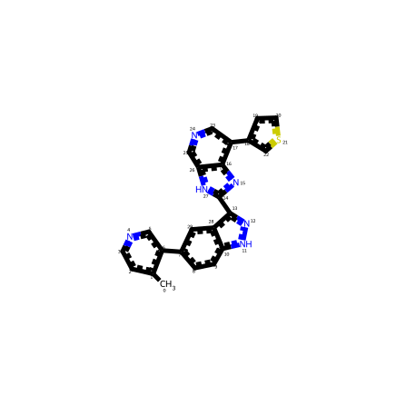 Cc1ccncc1-c1ccc2[nH]nc(-c3nc4c(-c5ccsc5)cncc4[nH]3)c2c1